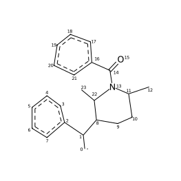 [CH2]C(c1ccccc1)C1CCC(C)N(C(=O)c2ccccc2)C1C